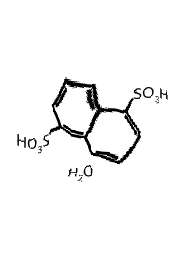 O.O=S(=O)(O)c1cccc2c(S(=O)(=O)O)cccc12